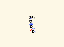 CCN(CC)c1ccc(-n2nc3ccc(NC(=O)c4cccnc4)cc3n2)cc1